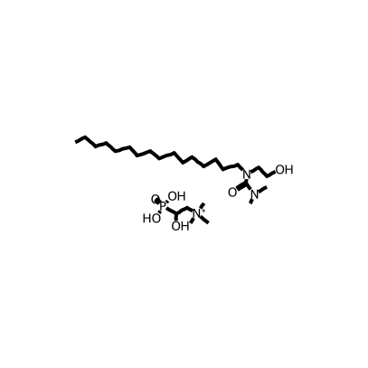 CCCCCCCCCCCCCCCCN(CCO)C(=O)N(C)C.C[N+](C)(C)CC(O)P(=O)(O)O